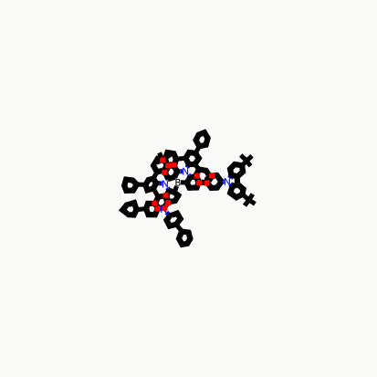 CC(C)(C)c1cc2c3c(c1)N(c1c(-c4ccccc4)cc(-c4ccccc4)cc1-c1ccccc1)c1cc(N(c4ccc(-c5ccccc5)cc4)c4ccc(-c5ccccc5)cc4)ccc1B3c1ccc(-c3ccc(-n4c5ccc(C(C)(C)C)cc5c5cc(C(C)(C)C)ccc54)cc3)cc1N2c1c(-c2ccccc2)cc(-c2ccccc2)cc1-c1ccccc1